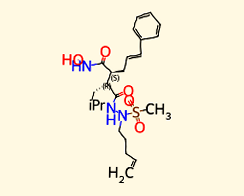 C=CCCCN(NC(=O)[C@H](CC(C)C)[C@H](CC=Cc1ccccc1)C(=O)NO)S(C)(=O)=O